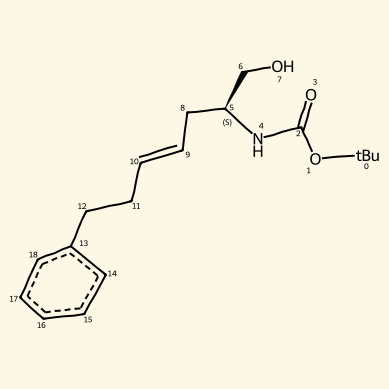 CC(C)(C)OC(=O)N[C@H](CO)CC=CCCc1ccccc1